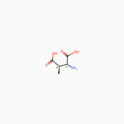 C[C@@H](C(=O)O)[C@H](N)C(=O)O